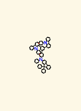 c1ccc(N(c2ccc(-c3cc(-c4cccc5c6ccccc6n(-c6ccccc6)c45)cc(-c4cccc5c6ccccc6n(-c6ccccc6)c45)c3)cc2)c2ccc3c(c2)C(c2ccccc2)(c2ccccc2)c2ccccc2-3)cc1